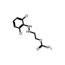 NC(=O)OCCNNc1c(Cl)cccc1Cl